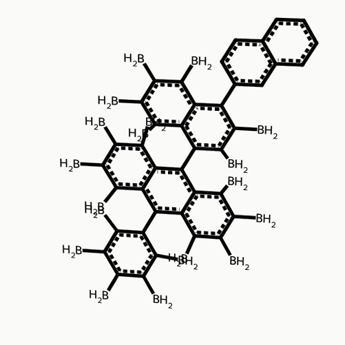 Bc1c(B)c(B)c(-c2c3c(B)c(B)c(B)c(B)c3c(-c3c(B)c(B)c(-c4ccc5ccccc5c4)c4c(B)c(B)c(B)c(B)c34)c3c(B)c(B)c(B)c(B)c23)c(B)c1B